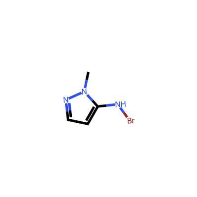 Cn1nccc1NBr